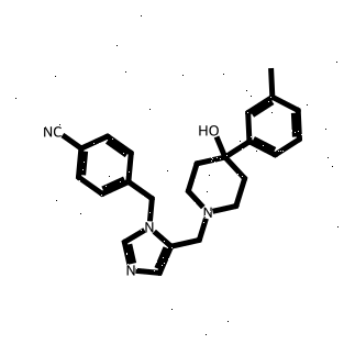 Cc1cccc(C2(O)CCN(Cc3cncn3Cc3ccc(C#N)cc3)CC2)c1